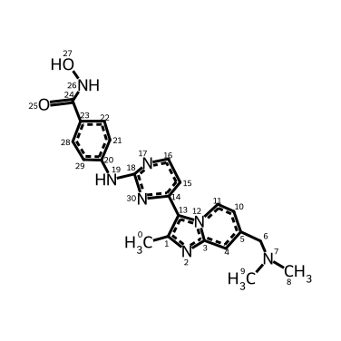 Cc1nc2cc(CN(C)C)ccn2c1-c1ccnc(Nc2ccc(C(=O)NO)cc2)n1